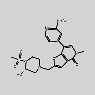 CC(=O)Nc1cc(-c2cn(C)c(=O)c3cc(CN4CCN(S(C)(=O)=O)[C@@H](O)C4)oc23)ccn1